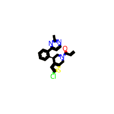 C=CC(=O)N1Cc2sc(Cl)cc2[C@@H](c2ccccc2-c2ccnc(C)n2)C1